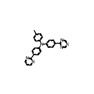 Cc1ccc(N(c2ccc(-c3ncccn3)cc2)c2ccc(-c3ncncn3)cc2)cc1